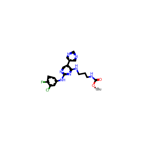 CC(C)(C)OC(=O)NCCCNc1nc(Nc2ccc(F)c(Cl)c2)ncc1-c1cncnc1